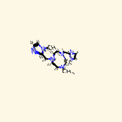 CN1CCN(Cc2nccn2C)CCN(Cc2nccn2C)CC1